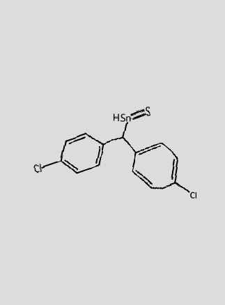 [S]=[SnH][CH](c1ccc(Cl)cc1)c1ccc(Cl)cc1